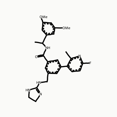 COc1cc(OC)cc(C(C)NC(=O)c2cc(CNC3=NCCN3)cc(-c3ccc(F)nc3C)c2)c1